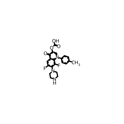 Cc1ccc(-n2cc(OC(=O)O)c(=O)c3cc(F)c(N4CCNCC4)c(F)c32)cc1